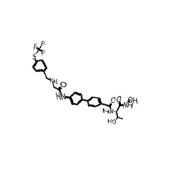 C[C@@H](O)[C@H](NC(=O)c1ccc(-c2ccc(NC(=O)CNCc3ccc(SC(F)(F)F)cc3)cc2)cc1)C(=O)NO